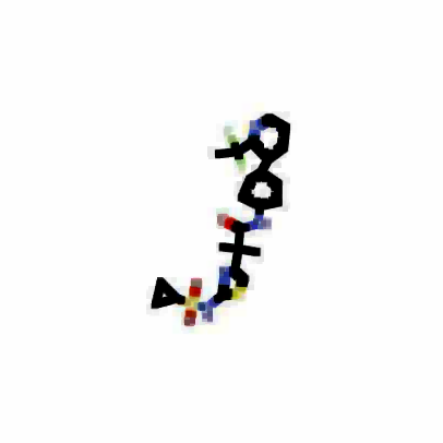 CC(F)(F)c1ncccc1-c1ccc(NC(=O)C(C)(C)c2csc(NS(=O)(=O)C3CC3)n2)cc1